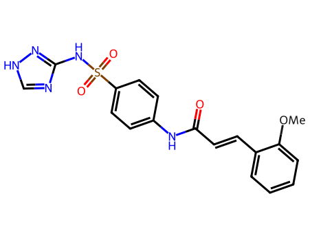 COc1ccccc1/C=C/C(=O)Nc1ccc(S(=O)(=O)Nc2nc[nH]n2)cc1